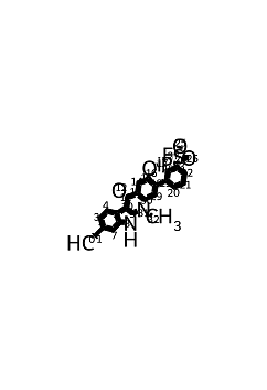 C#Cc1ccc2c(c1)[nH]c1c2c(=O)c2cc(OC(C)C)c(-c3cccc(S(=O)(=O)F)c3)cc2n1C